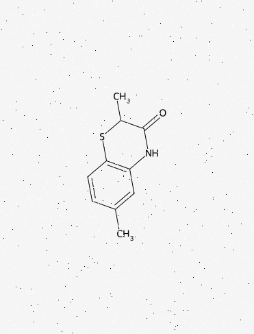 Cc1ccc2c(c1)NC(=O)C(C)S2